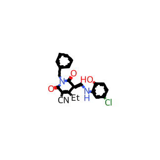 CCC1=C(C#N)C(=O)N(Cc2ccccc2)C(=O)C1=CNc1cc(Cl)ccc1O